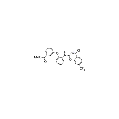 COC(=O)c1cccc(Oc2ccccc2NC(=O)/C=C(/Cl)c2ccc(C(F)(F)F)cc2)c1